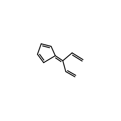 C=CC(C=C)=C1C=CC=C1